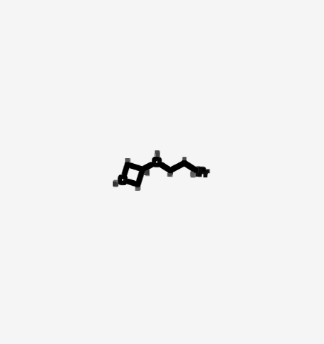 CC(C)CCOC1COC1